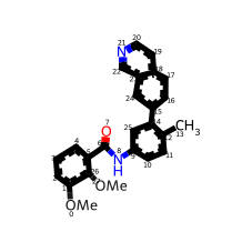 COc1cccc(C(=O)Nc2ccc(C)c(-c3ccc4ccncc4c3)c2)c1OC